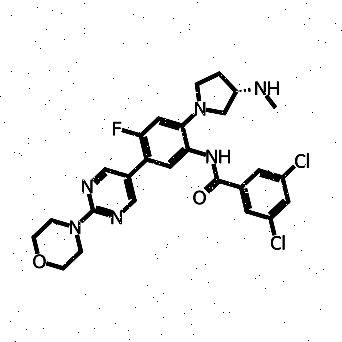 CN[C@H]1CCN(c2cc(F)c(-c3cnc(N4CCOCC4)nc3)cc2NC(=O)c2cc(Cl)cc(Cl)c2)C1